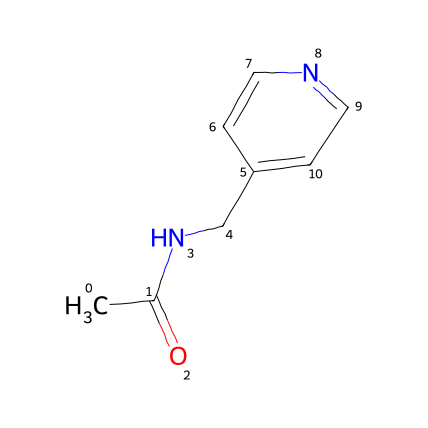 CC(=O)NCc1ccncc1